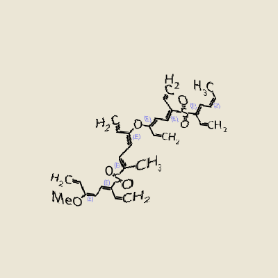 C=C/C(=C\C=C(/C=C)S(=O)(=O)/C(C)=C/C=C(\C=C)O/C(C=C)=C/C=C(\C=C)S(=O)(=O)/C(C=C)=C/C=C\C)OC